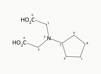 O=C(O)CN(CC(=O)O)C1CCCC1